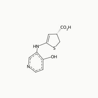 O=C(O)[C@H]1C=C(Nc2cnccc2O)SC1